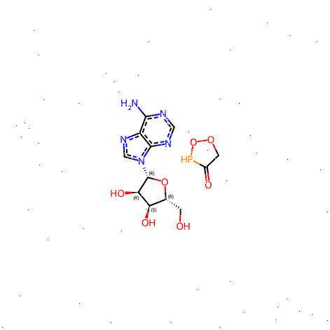 Nc1ncnc2c1ncn2[C@@H]1O[C@H](CO)[C@@H](O)[C@H]1O.O=C1COOP1